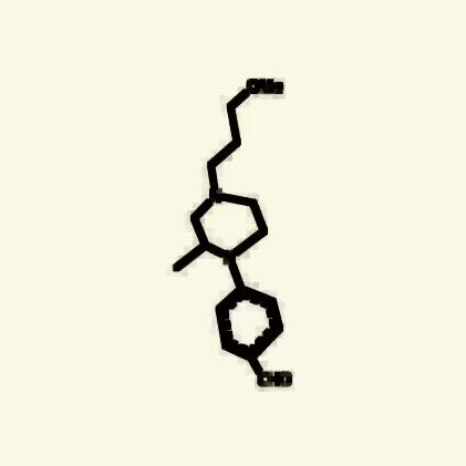 COCCCN1CCN(c2ccc(C=O)cc2)C(C)C1